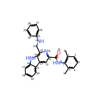 Cc1cccc(C)c1NC(=O)c1cc2c([nH]c3ccccc32)c(CNc2ccccc2)n1